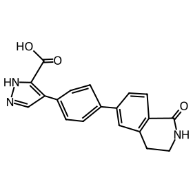 O=C1NCCc2cc(-c3ccc(-c4cn[nH]c4C(=O)O)cc3)ccc21